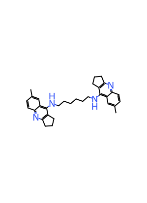 Cc1ccc2nc3c(c(NCCCCCCNc4c5c(nc6ccc(C)cc46)CCC5)c2c1)CCC3